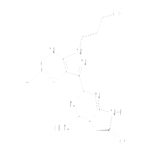 C[C@H]1C(=O)Nc2nc(-c3nn(CCCC(F)(F)F)c4ncc(F)cc34)nc(N)c21